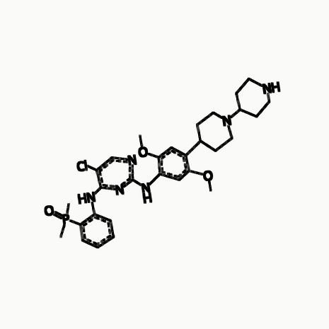 COc1cc(C2CCN(C3CCNCC3)CC2)c(OC)cc1Nc1ncc(Cl)c(Nc2ccccc2P(C)(C)=O)n1